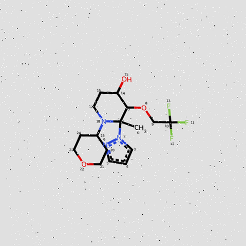 CC1(n2cccn2)C(OCC(F)(F)F)C(O)CCN1C1CCOCC1